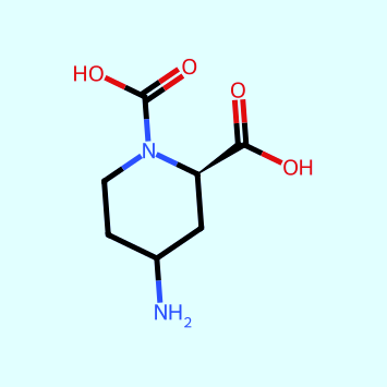 NC1CCN(C(=O)O)[C@@H](C(=O)O)C1